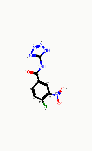 O=C(Nc1nnn[nH]1)c1ccc(Cl)c([N+](=O)[O-])c1